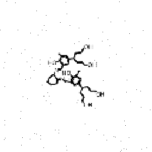 Cc1cc(C(CCCO)CCCO)cc(/C=N/C2CCCCC2/N=C/c2cc(C(CCCO)CCCO)cc(C)c2O)c1O